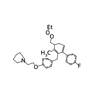 CCOOCC1CC=C(c2ccc(F)cc2)C(Cc2ccc(OCCN3CCCCC3)cc2)=C1C